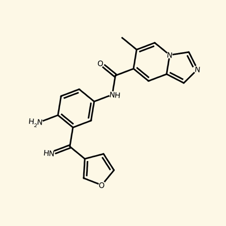 Cc1cn2cncc2cc1C(=O)Nc1ccc(N)c(C(=N)c2ccoc2)c1